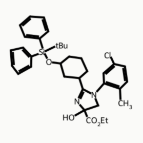 CCOC(=O)C1(O)CN(c2cc(Cl)ccc2C)C(C2CCCC(O[Si](c3ccccc3)(c3ccccc3)C(C)(C)C)C2)=N1